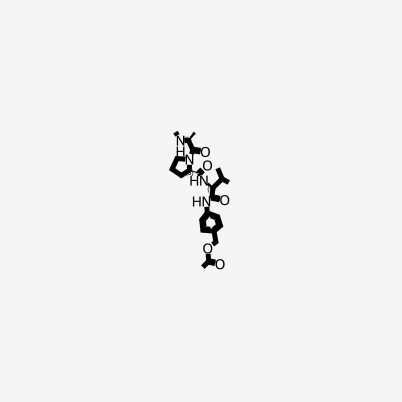 CN[C@@H](C)C(=O)N1CCC[C@H]1C(=O)N[C@H](C(=O)Nc1ccc(COC(C)=O)cc1)C(C)C